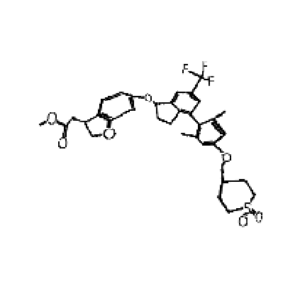 COC(=O)C[C@@H]1COc2cc(O[C@@H]3CCc4c(-c5c(C)cc(OCC6CCS(=O)(=O)CC6)cc5C)cc(C(F)(F)F)cc43)ccc21